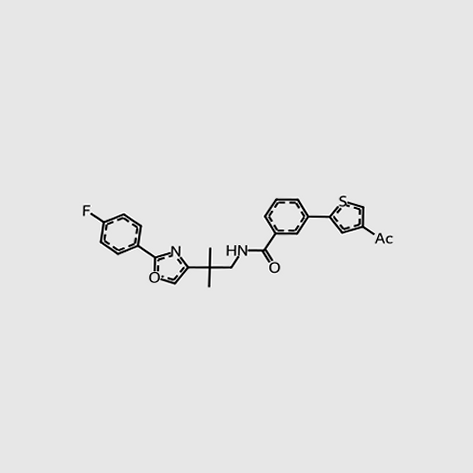 CC(=O)c1csc(-c2cccc(C(=O)NCC(C)(C)c3coc(-c4ccc(F)cc4)n3)c2)c1